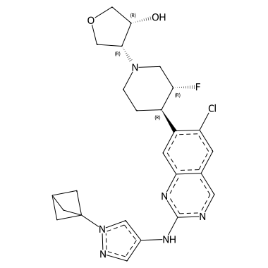 O[C@H]1COC[C@H]1N1CC[C@H](c2cc3nc(Nc4cnn(C56CC(C5)C6)c4)ncc3cc2Cl)[C@@H](F)C1